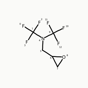 FC(F)(F)N(CC1CO1)C(F)(F)F